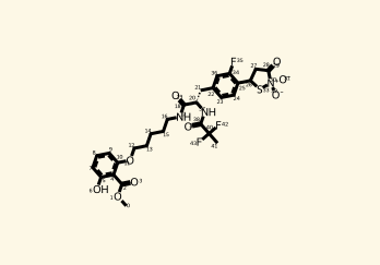 COC(=O)c1c(O)cccc1OCCCCCNC(=O)[C@H](Cc1ccc(C2CC(=O)[N+]([O-])([O-])S2)c(F)c1)NC(=O)C(C)(F)F